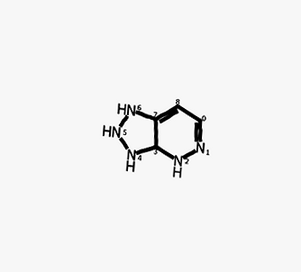 C1=NNC2NNNC2=C1